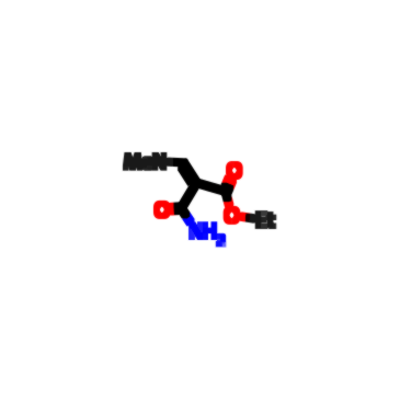 CCOC(=O)/C(=C/NC)C(N)=O